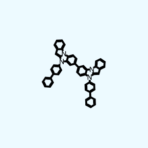 c1ccc(-c2ccc(-n3c4cc(-c5ccc6c(c5)n5c7ccccc7cc5n6-c5ccc(-c6ccccc6)cc5)ccc4n4c5ccccc5cc34)cc2)cc1